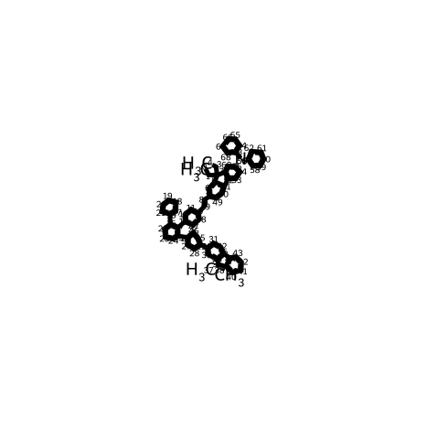 CCC1(CC)c2cc(/C=C/c3ccc(-c4c(-c5ccccc5)cccc4-c4ccc(-c5ccc6c(c5)C(C)(C)c5ccccc5-6)cc4)cc3)ccc2-c2ccc(N(c3ccccc3)c3ccccc3)cc21